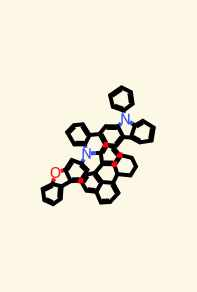 c1ccc(-n2c3ccccc3c3ccc(-c4ccccc4N(c4ccc5c(c4)oc4ccccc45)c4ccccc4-c4cccc5cccc(C6CCCCC6)c45)cc32)cc1